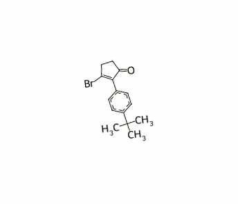 CC(C)(C)c1ccc(C2=C(Br)CCC2=O)cc1